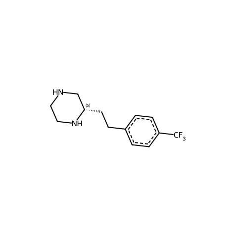 FC(F)(F)c1ccc(CC[C@H]2CNCCN2)cc1